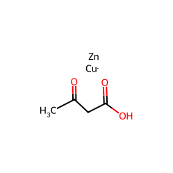 CC(=O)CC(=O)O.[Cu].[Zn]